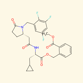 COC(=O)c1ccccc1COC(=O)[C@H](CC1CC1)NC(=O)C[C@@H]1CCC(=O)N1Cc1cc(F)cc(F)c1F